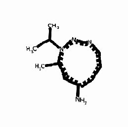 Cc1cc(N)cccnnn1C(C)C